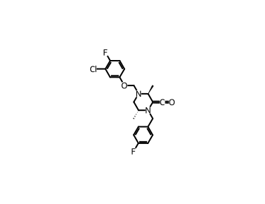 C[C@@H]1CN(COc2ccc(F)c(Cl)c2)[C@@H](C)C(=C=O)N1Cc1ccc(F)cc1